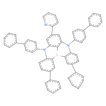 c1ccc(-c2ccc(N3c4ccc(-c5ccccc5)cc4B4c5cc(-c6ccccc6)ccc5N(c5ccc(-c6ccccc6)cc5)c5cc(-c6ccccn6)cc3c54)cc2)cc1